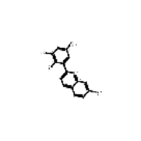 CCCc1ccc2ccc(-c3cc(C)cc(C)c3C)nc2c1